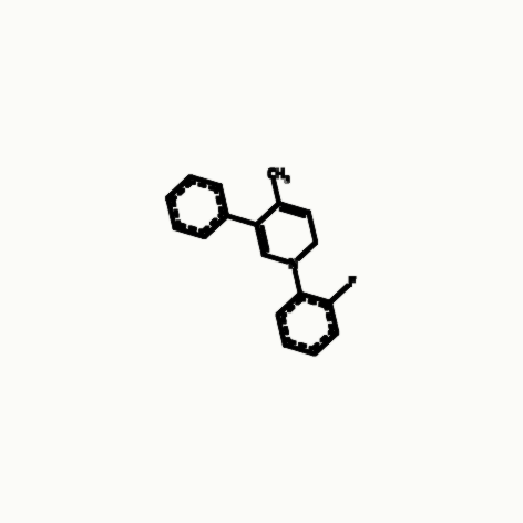 CC1=CCN(c2ccccc2F)C=C1c1ccccc1